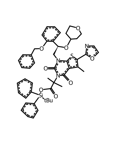 Cc1c(-c2ncco2)sc2c1c(=O)n(C(C)(C)C(=O)O[Si](c1ccccc1)(c1ccccc1)C(C)(C)C)c(=O)n2C[C@H](OC1CCOCC1)c1ccccc1OCc1ccccc1